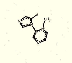 C[n+]1ccncc1-n1cncc1I